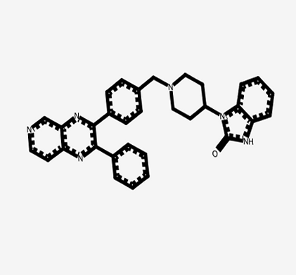 O=c1[nH]c2ccccc2n1C1CCN(Cc2ccc(-c3nc4cnccc4nc3-c3ccccc3)cc2)CC1